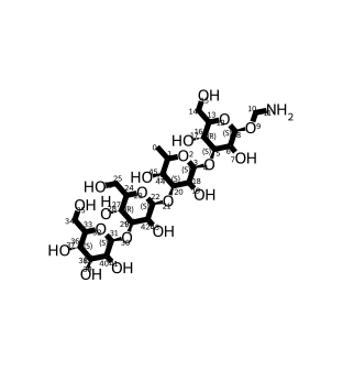 CC1O[C@@H](O[C@@H]2C(O)[C@H](OCN)OC(CO)[C@H]2O)C(O)[C@@H](O[C@@H]2OC(CO)[C@@H](O)[C@H](O[C@@H]3OC(CO)[C@@H](O)[C@H](O)C3O)C2O)[C@H]1O